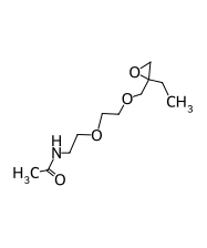 CCC1(COCCOCCNC(C)=O)CO1